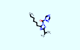 CCCCCCc1nc(C(C)C)nn1C(=O)n1cncn1